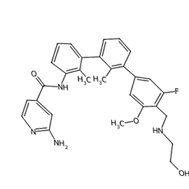 COc1cc(-c2cccc(-c3cccc(NC(=O)c4ccnc(N)c4)c3C)c2C)cc(F)c1CNCCO